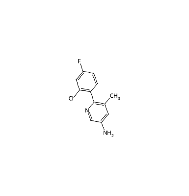 Cc1cc(N)cnc1-c1ccc(F)cc1Cl